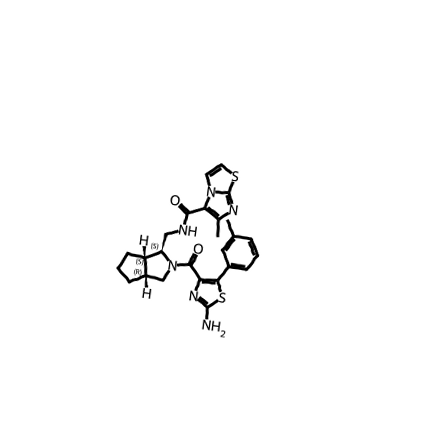 Cc1cccc(-c2sc(N)nc2C(=O)N2C[C@@H]3CCC[C@@H]3[C@H]2CNC(=O)c2c(C)nc3sccn23)c1